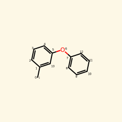 [CH]c1cccc(Oc2ccccc2)c1